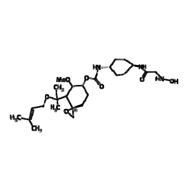 COC1C(OC(=O)N[C@H]2CC[C@H](NC(=O)CNO)CC2)CC[C@]2(CO2)C1C(C)(C)OCC=C(C)C